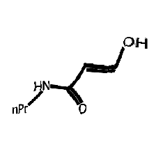 CCCNC(=O)C=CO